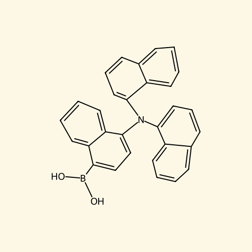 OB(O)c1ccc(N(c2cccc3ccccc23)c2cccc3ccccc23)c2ccccc12